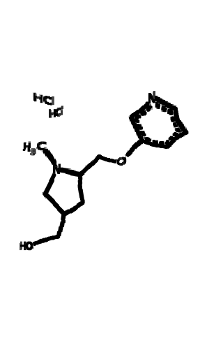 CN1CC(CO)CC1COc1cccnc1.Cl.Cl